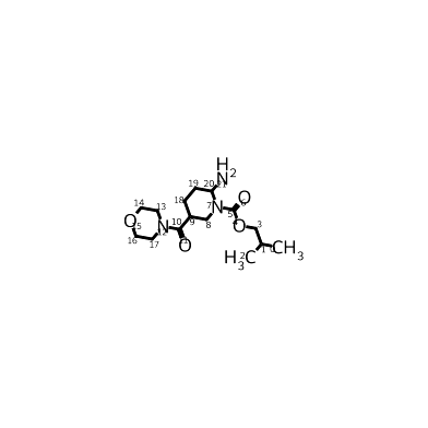 CC(C)COC(=O)N1CC(C(=O)N2CCOCC2)CCC1N